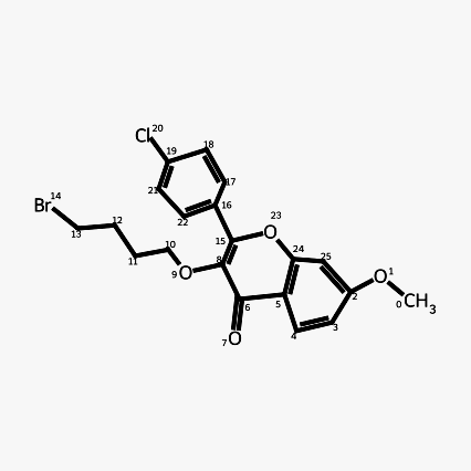 COc1ccc2c(=O)c(OCCCCBr)c(-c3ccc(Cl)cc3)oc2c1